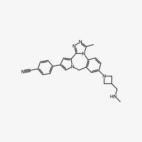 CNCC1CN(c2ccc3c(c2)Cn2cc(-c4ccc(C#N)cc4)cc2-c2nnc(C)n2-3)C1